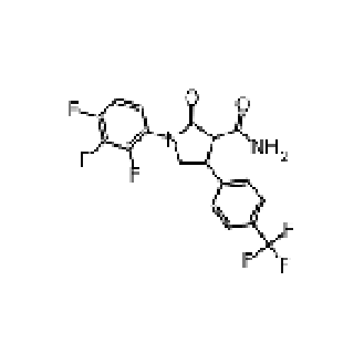 NC(=O)C1C(=O)N(c2ccc(F)c(F)c2F)CC1c1ccc(C(F)(F)F)cc1